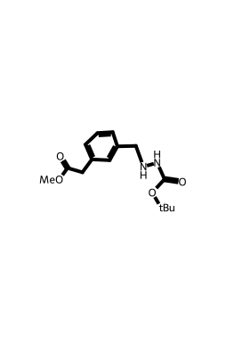 COC(=O)Cc1cccc(CNNC(=O)OC(C)(C)C)c1